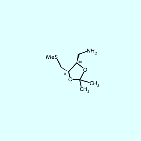 CSC[C@H]1OC(C)(C)O[C@@H]1CN